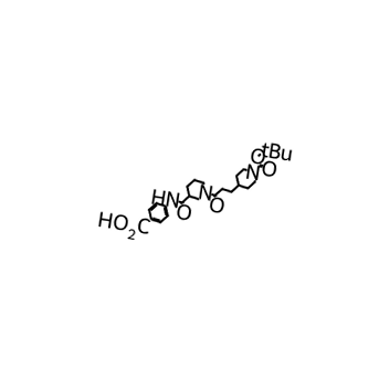 CC(C)(C)OC(=O)N1CCC(CCC(=O)N2CCCC(C(=O)Nc3ccc(C(=O)O)cc3)C2)CC1